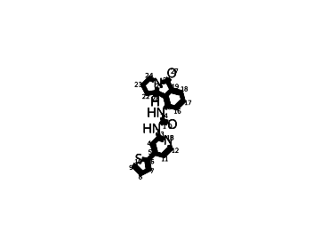 O=C(Nc1cc(-c2cccs2)ccn1)Nc1cccc2c1[C@@H]1CCCN1C2=O